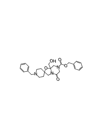 O=C(OCc1ccccc1)N1CC(=O)N2CC3(CCN(Cc4ccccc4)CC3)OC2(CO)C1